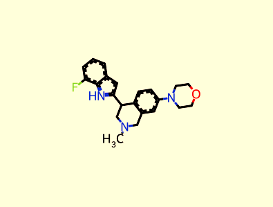 CN1Cc2cc(N3CCOCC3)ccc2C(c2cc3cccc(F)c3[nH]2)C1